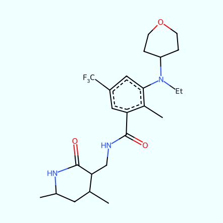 CCN(c1cc(C(F)(F)F)cc(C(=O)NCC2C(=O)NC(C)CC2C)c1C)C1CCOCC1